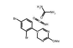 COC1=NCN(c2ccc(Br)cc2Br)C=N1.N=C=O.NC(N)=O